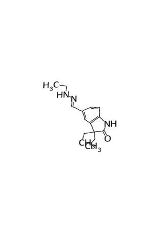 CCN/N=C/c1ccc2c(c1)C(CC)(CC)C(=O)N2